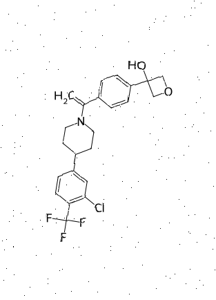 C=C(c1ccc(C2(O)COC2)cc1)N1CCC(c2ccc(C(F)(F)F)c(Cl)c2)CC1